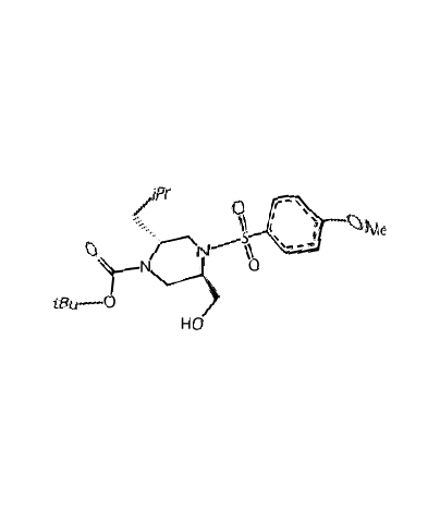 COc1ccc(S(=O)(=O)N2C[C@@H](CC(C)C)N(C(=O)OC(C)(C)C)C[C@@H]2CO)cc1